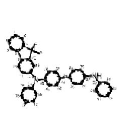 CC1(C)c2ccccc2-c2ccc(N(c3ccccc3)c3ccc(-c4ccc(Nc5ccccc5)cc4)cc3)cc21